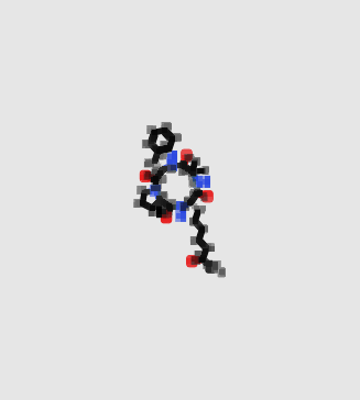 CC1(C)NC(=O)[C@H](CCCCCC(=O)C(F)(F)F)NC(=O)[C@H]2CCCN2C(=O)[C@H](Cc2ccccc2)NC1=O